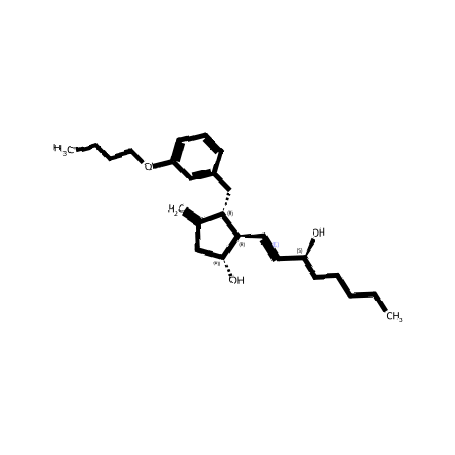 C=C1C[C@@H](O)[C@H](/C=C/[C@@H](O)CCCCC)[C@H]1Cc1cccc(OCCCC)c1